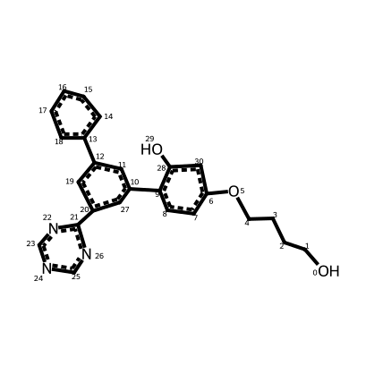 OCCCCOc1ccc(-c2cc(-c3ccccc3)cc(-c3ncncn3)c2)c(O)c1